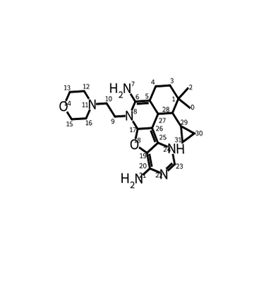 CC1(C)CCC2=C(N)N(CCN3CCOCC3)C3OC4=C(N)N=CNC4=C3C2C1C1CC1